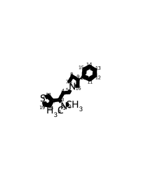 CN(C)C(CCN1CC[C@@H](c2ccccc2)C1)c1ccsc1